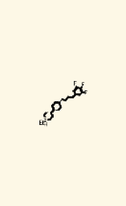 CC[Si@H]1CC[C@H]([C@H]2CC[C@H](CCCCc3cc(F)c(F)c(F)c3)CC2)CC1